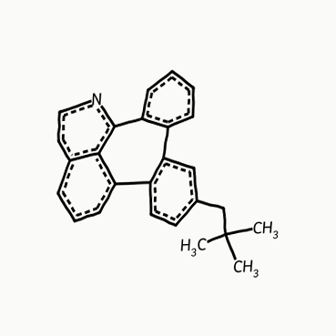 CC(C)(C)Cc1ccc2c(c1)-c1ccccc1-c1nccc3cccc-2c13